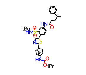 CC(C)OC(=O)NC12CCC(c3ncc(-c4ccc(NC(=O)CC[C@H](C)c5ccccc5)cc4S(=O)(=O)NC(C)(C)C)s3)(CC1)CC2